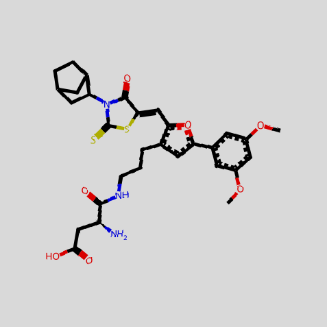 COc1cc(OC)cc(-c2cc(CCCNC(=O)[C@@H](N)CC(=O)O)c(/C=C3\SC(=S)N(C4CC5CCC4C5)C3=O)o2)c1